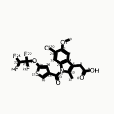 COc1cc2c(CC(=O)O)c(C)n(C(=O)c3csc(OC(F)(F)C(F)F)c3)c2cc1Cl